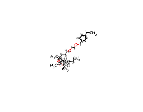 C=Cc1ccc(COCCOCCC[Si](C)(C)O[Si](C)(C)O[Si](C)(C)CCCC)cc1